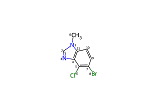 Cn1cnc2c(Cl)c(Br)ccc21